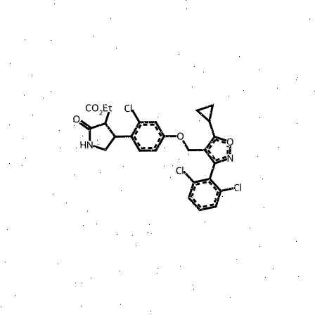 CCOC(=O)C1C(=O)NCC1c1ccc(OCc2c(-c3c(Cl)cccc3Cl)noc2C2CC2)cc1Cl